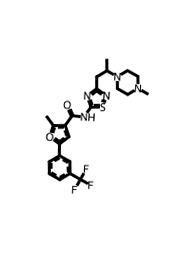 Cc1oc(-c2cccc(C(F)(F)F)c2)cc1C(=O)Nc1nc(CC(C)N2CCN(C)CC2)ns1